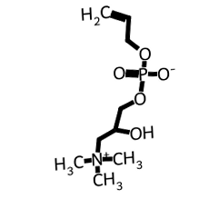 C=CCOP(=O)([O-])OCC(O)C[N+](C)(C)C